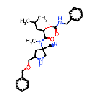 CC(C)CC(OC(=O)NCc1ccccc1)C(=O)N(C)C1(C#N)CNC(COCc2ccccc2)C1